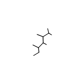 ClCC(Cl)C(Cl)C(Cl)C(Cl)Cl